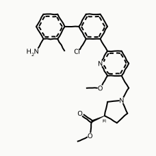 COC(=O)[C@@H]1CCN(Cc2ccc(-c3cccc(-c4cccc(N)c4C)c3Cl)nc2OC)C1